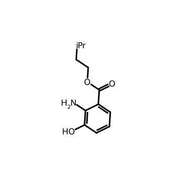 CC(C)CCOC(=O)c1cccc(O)c1N